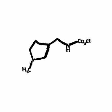 CCOC(=O)NCC1CCN(C)C1